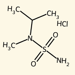 CC(C)N(C)S(N)(=O)=O.Cl